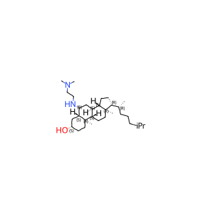 CC(C)CCC[C@@H](C)[C@H]1CC[C@H]2[C@@H]3C[C@@H](NCCN(C)C)[C@H]4C[C@@H](O)CC[C@]4(C)[C@H]3CC[C@]12C